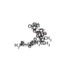 CC1CC(C)(C)N(CCCC(=O)N2CCN(C(=O)CCCCP(P)Br)CC2)c2cc3c(cc21)C1(OC(=O)c2ccccc21)c1ccc(Oc2cc(Cl)c(O)c(Cl)c2)cc1O3